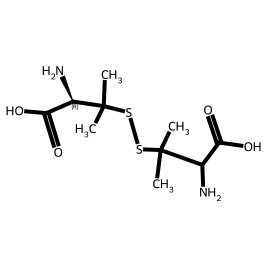 CC(C)(SSC(C)(C)[C@H](N)C(=O)O)C(N)C(=O)O